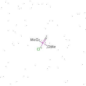 C=P(Cl)(OC)OC